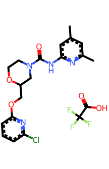 Cc1cc(C)nc(NC(=O)N2CCOC(COc3cccc(Cl)n3)C2)c1.O=C(O)C(F)(F)F